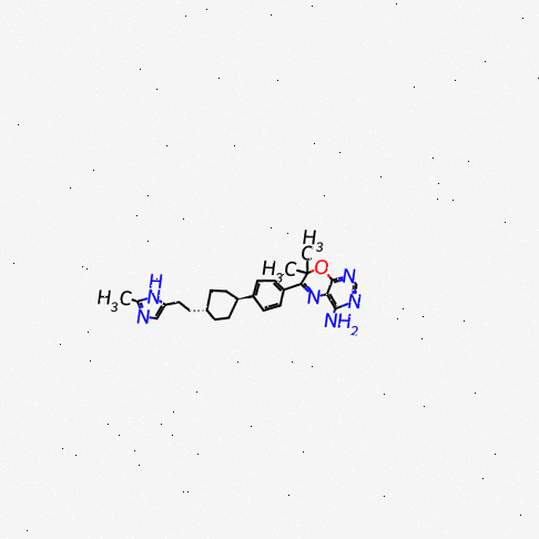 Cc1ncc(CC[C@H]2CC[C@H](c3ccc(C4=Nc5c(N)ncnc5OC4(C)C)cc3)CC2)[nH]1